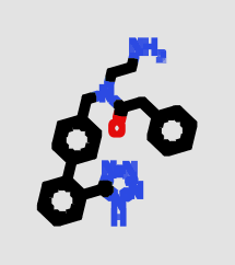 NCCN(Cc1ccc(-c2ccccc2-c2nnn[nH]2)cc1)C(=O)Cc1ccccc1